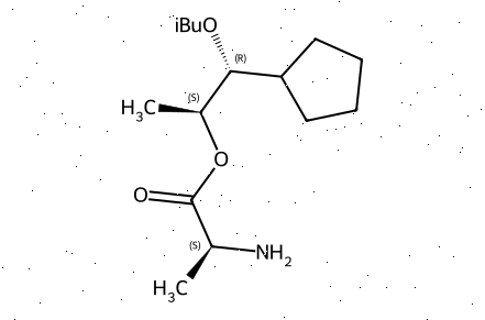 CC(C)CO[C@H](C1CCCC1)[C@H](C)OC(=O)[C@H](C)N